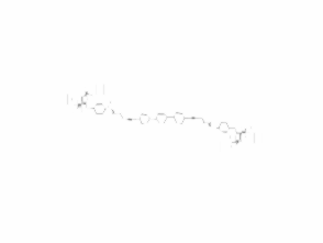 CCOC(Cc1ccc(SCC=CC#Cc2ccc(-c3ccc(-c4ccc(C#CC=CCSc5ccc(CC(OCC)C(=O)O)cc5)cc4)cc3)cc2)cc1)C(=O)O